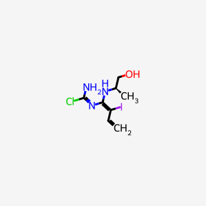 C=C/C(I)=C(\N=C(/N)Cl)N[C@H](C)CO